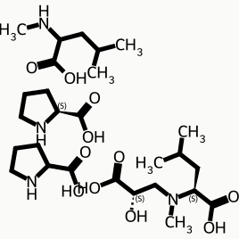 CC(C)C[C@@H](C(=O)O)N(C)C[C@H](O)C(=O)O.CNC(CC(C)C)C(=O)O.O=C(O)C1CCCN1.O=C(O)[C@@H]1CCCN1